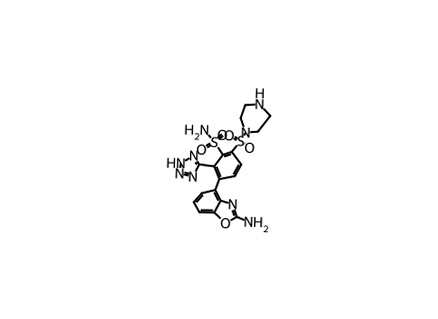 Nc1nc2c(-c3ccc(S(=O)(=O)N4CCNCC4)c(S(N)(=O)=O)c3-c3nn[nH]n3)cccc2o1